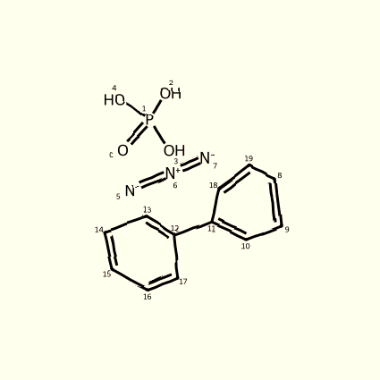 O=P(O)(O)O.[N-]=[N+]=[N-].c1ccc(-c2ccccc2)cc1